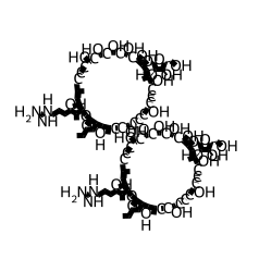 CCCCC1C(=O)OC(C(C)C(O)CCCNC(=N)N)C(C)/C=C(\C)CCCCC(O)CC(O)CC(O)CC(O)CC(O)C(O[C@H]2O[C@H](CO)[C@@H](O)[C@@H]2O)/C=C(\C)C(O)CCCC(O)CCCC(O)CCC(C)C1O.CCCCC1C(=O)OC(C(C)C(O)CCCNC(=N)N)C(C)/C=C(\C)CCCCC(O)CC(O)CC(O)CC(O)CC(O)C(O[C@H]2O[C@H](CO)[C@@H](O)[C@@H]2O)/C=C(\C)C(O)CCCC(O)CCCC(O)CCC(C)C1O